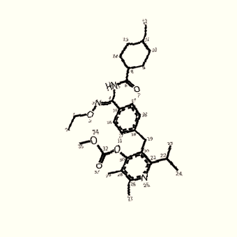 CCO/N=C(/NC(=O)C1CCC(C)CC1)c1ccc(Cc2c(C(C)C)nc(C)c(C)c2OC(=O)OC)cc1